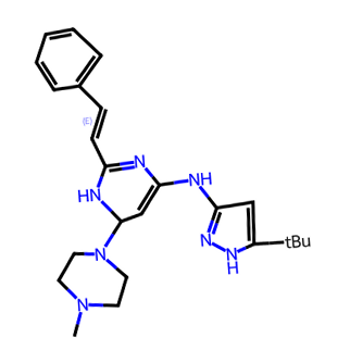 CN1CCN(C2C=C(Nc3cc(C(C)(C)C)[nH]n3)N=C(/C=C/c3ccccc3)N2)CC1